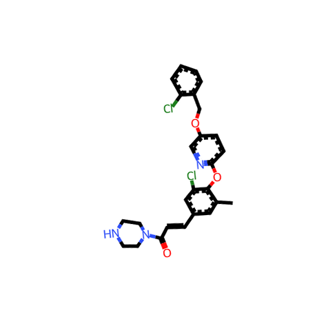 Cc1cc(C=CC(=O)N2CCNCC2)cc(Cl)c1Oc1ccc(OCc2ccccc2Cl)cn1